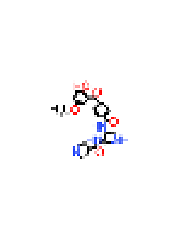 COc1ccc(O)c(C(=O)c2ccc(C(=O)NC3CNC[C@H]3NC(=O)c3ccncc3)cc2)c1